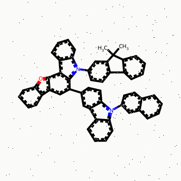 CC1(C)c2ccccc2-c2ccc(-n3c4ccccc4c4c5oc6ccccc6c5cc(-c5ccc6c(c5)c5ccccc5n6-c5ccc6ccccc6c5)c43)cc21